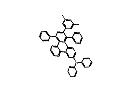 Cc1cc(C)cc(-c2cc(-c3ccccc3)c3c4ccccc4c4cc(N(C5=CCCC=C5)c5ccccc5)ccc4c3c2-c2ccccc2)c1